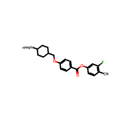 CCCCCCCC1CCC(COc2ccc(C(=O)Oc3ccc(C#N)c(F)c3)cc2)CC1